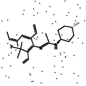 C=CC(=C/C(C)=C\C)/C(/N=C(\C)N[C@H]1CC[C@H](C)CC1)=C(/C=C)C(C)(C)F